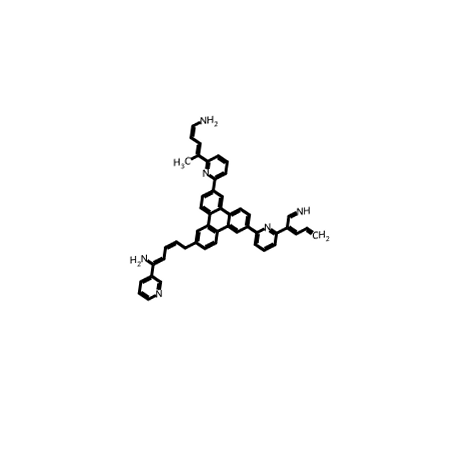 C=C/C=C(\C=N)c1cccc(-c2ccc3c(c2)c2ccc(C/C=C\C=C(/N)c4cccnc4)cc2c2ccc(-c4cccc(/C(C)=C/C=C\N)n4)cc23)n1